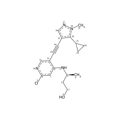 C[C@@H](CCO)Nc1cc(Cl)ncc1C#Cc1cnn(C)c1C1CC1